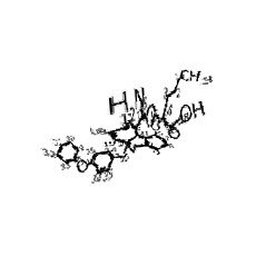 CCCCC(Oc1cccc2c1c1c(C(N)=O)cccc1n2Cc1ccc(Oc2ccccc2)cc1)C(=O)O